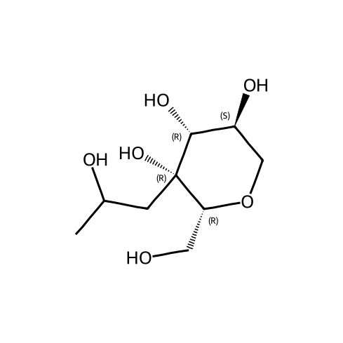 CC(O)C[C@@]1(O)[C@H](O)[C@@H](O)CO[C@@H]1CO